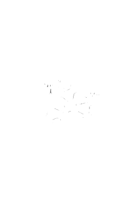 COc1cccc2c1-c1ccc(C(C)C(N)=O)cc1C(c1ccccc1)O2